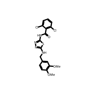 COc1ccc(CNc2nnc(NC(=O)c3c(Cl)cccc3Cl)s2)cc1OC